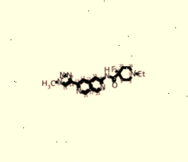 CCN1CCC(F)(C(=O)Nc2cc3cc(-c4cn(C)nn4)ncc3cn2)CC1